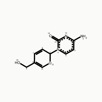 Nc1ccn(C2C=CC(CO)=CO2)c(=O)n1